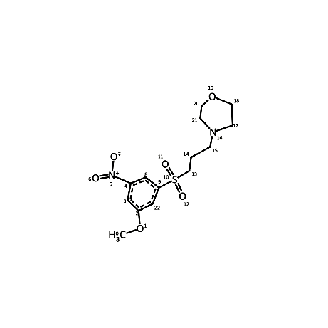 COc1cc([N+](=O)[O-])cc(S(=O)(=O)CCCN2CCOCC2)c1